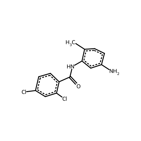 Cc1ccc(N)cc1NC(=O)c1ccc(Cl)cc1Cl